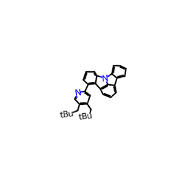 CC(C)(C)Cc1cnc(-c2cccc3c2c2cccc4c5ccccc5n3c42)cc1CC(C)(C)C